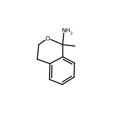 CC1(N)OCCc2ccccc21